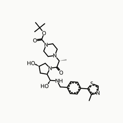 Cc1ncsc1-c1ccc(CN[C@@H](O)C2C[C@@H](O)CN2C(=O)[C@@H](C)N2CCN(C(=O)OC(C)(C)C)CC2)cc1